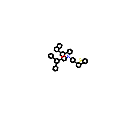 C1=c2ccccc2=C(c2cccc(-c3ccccc3N(c3ccc(-c4cc(-c5ccccc5)cc(-c5ccccc5)c4)cc3)c3ccc(-c4cccc5c4sc4ccccc45)cc3)c2)CC1